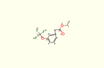 CCOC(=O)Cc1cccc(OC(F)(F)F)c1